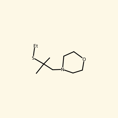 CCSC(C)(C)CN1CCOCC1